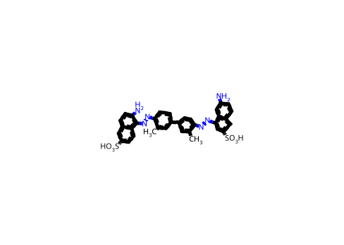 Cc1cc(-c2ccc(/N=N/c3c(N)ccc4cc(S(=O)(=O)O)ccc34)c(C)c2)ccc1/N=N/c1cc(S(=O)(=O)O)cc2ccc(N)cc12